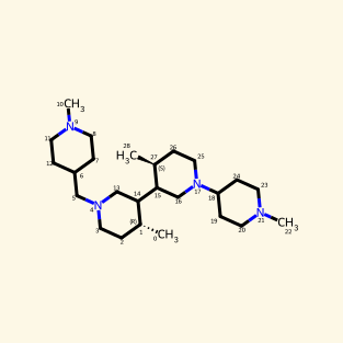 C[C@@H]1CCN(CC2CCN(C)CC2)CC1C1CN(C2CCN(C)CC2)CC[C@@H]1C